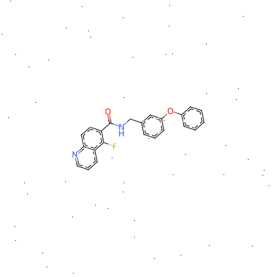 O=C(NCc1cccc(Oc2ccccc2)c1)c1ccc2ncccc2c1F